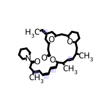 C/C=C1\CC2CC(=O)OC(/C=C/C=C\C=C(/C)CC(=O)N3CCCCC3)C(C)/C=C/C(C)CC3CCCC(CC(C1)O2)O3